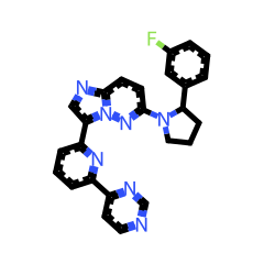 Fc1cccc(C2CCCN2c2ccc3ncc(-c4cccc(-c5ccncn5)n4)n3n2)c1